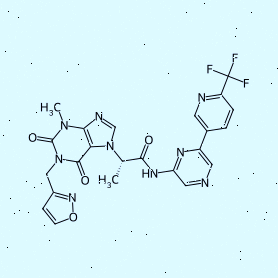 C[C@@H](C(=O)Nc1cncc(-c2ccc(C(F)(F)F)nc2)n1)n1cnc2c1c(=O)n(Cc1ccon1)c(=O)n2C